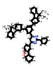 CC1(C)c2ccccc2-c2cc(-c3cc(-c4ccc5c(c4)-c4ccccc4C5(C)C)cc(-c4cc(-c5ccc6oc7ccccc7c6c5)nc(-c5ccccc5)n4)c3)ccc21